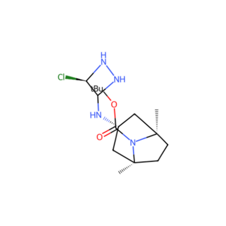 CC(C)(C)OC(=O)N1[C@@]2(C)CC[C@]1(C)C[C@@H](NC1NN[C@@H]1Cl)C2